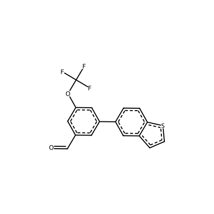 O=Cc1cc(OC(F)(F)F)cc(-c2ccc3sccc3c2)c1